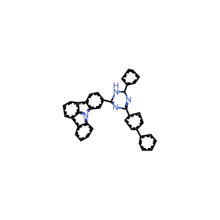 c1ccc(-c2ccc(C3=NC(c4ccccc4)NC(c4ccc5c6cccc7c8ccccc8n(c5c4)c76)=N3)cc2)cc1